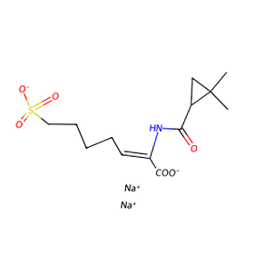 CC1(C)CC1C(=O)N/C(=C\CCCCS(=O)(=O)[O-])C(=O)[O-].[Na+].[Na+]